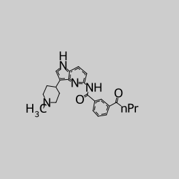 CCCC(=O)c1cccc(C(=O)Nc2ccc3[nH]cc(C4CCN(C)CC4)c3n2)c1